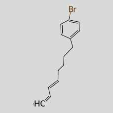 [CH]=CC=CCCCCc1ccc(Br)cc1